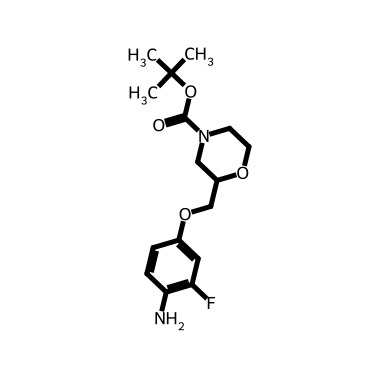 CC(C)(C)OC(=O)N1CCOC(COc2ccc(N)c(F)c2)C1